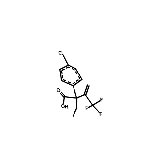 C=C(C(F)(F)F)C(CC)(C(=O)O)c1ccc(Cl)cc1